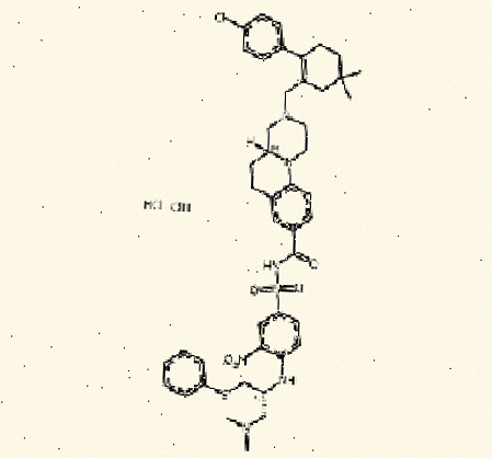 CN(C)C[C@H](CSc1ccccc1)Nc1ccc(S(=O)(=O)NC(=O)c2ccc3c(c2)CC[C@@H]2CN(CC4=C(c5ccc(Cl)cc5)CCC(C)(C)C4)CCN32)cc1[N+](=O)[O-].Cl.Cl